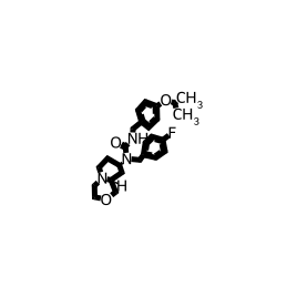 CC(C)Oc1ccc(CNC(=O)N(Cc2ccc(F)cc2)[C@@H]2CCN3CCOC[C@@H]3C2)cc1